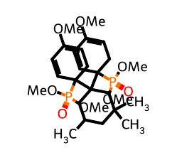 COC1=CCC(C2(C3(P(=O)(OC)OC)C=CC(OC)=CC3)CC(C)CC(C)(C)C2)(P(=O)(OC)OC)C=C1